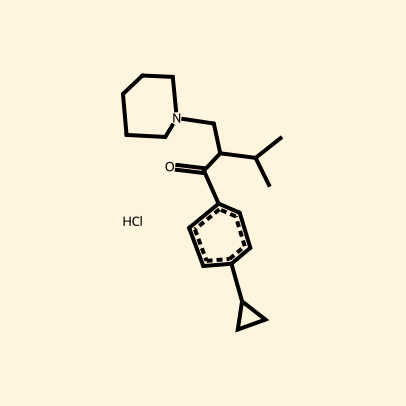 CC(C)C(CN1CCCCC1)C(=O)c1ccc(C2CC2)cc1.Cl